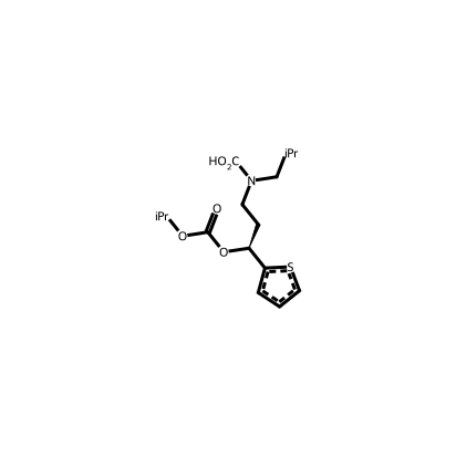 CC(C)CN(CC[C@H](OC(=O)OC(C)C)c1cccs1)C(=O)O